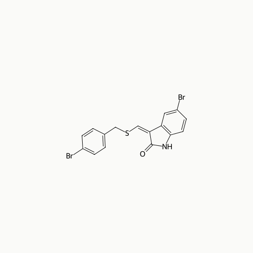 O=C1Nc2ccc(Br)cc2C1=CSCc1ccc(Br)cc1